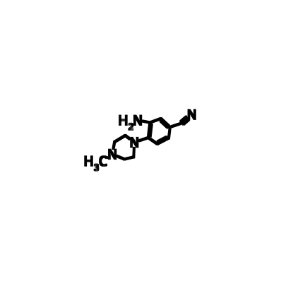 CN1CCN(c2ccc(C#N)cc2N)CC1